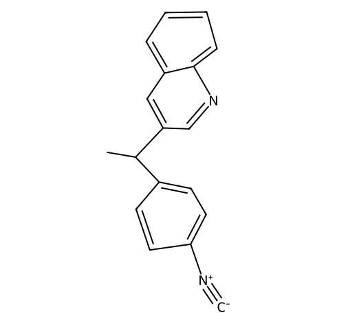 [C-]#[N+]c1ccc(C(C)c2cnc3ccccc3c2)cc1